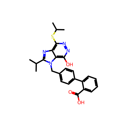 CC(C)Sc1nnc(O)c2c1nc(C(C)C)n2Cc1ccc(-c2ccccc2C(=O)O)cc1